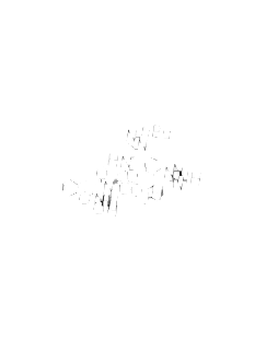 CCCCc1ncc(CNC(=O)C[C@@H](NC(=O)C(Cc2ccccc2)C(=O)NO)C(=O)O)n1Cc1ccc(-c2ccccc2-c2nn[nH]n2)cc1